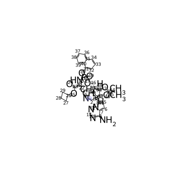 C/N=C\[C@@]1(c2ccc3c(N)ncnn23)C[C@H](COP(=O)(N[C@@H](C)C(=O)OC2CCC2)Oc2cccc3ccccc23)[C@H]2OC(C)(C)O[C@H]21